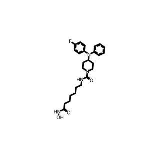 O=C(CCCCCCNC(=O)N1CCC(N(c2ccccc2)c2ccc(F)cc2)CC1)NO